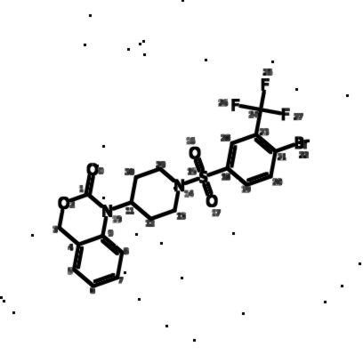 O=C1OCc2ccccc2N1C1CCN(S(=O)(=O)c2ccc(Br)c(C(F)(F)F)c2)CC1